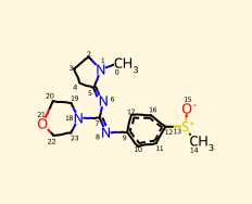 CN1CCCC1=NC(=Nc1ccc([S+](C)[O-])cc1)N1CCOCC1